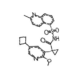 COc1ncc(C2CCC2)cc1C1(C(=O)NS(=O)(=O)c2cccc3nc(C)ccc23)CC1